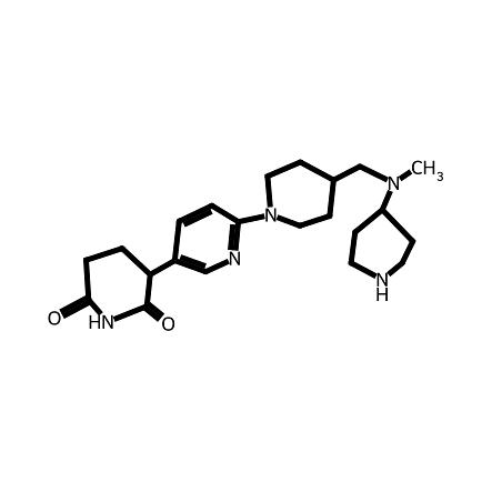 CN(CC1CCN(c2ccc(C3CCC(=O)NC3=O)cn2)CC1)C1CCNCC1